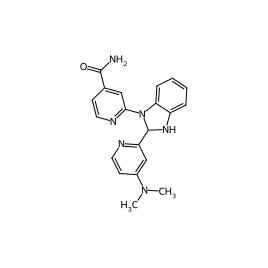 CN(C)c1ccnc(C2Nc3ccccc3N2c2cc(C(N)=O)ccn2)c1